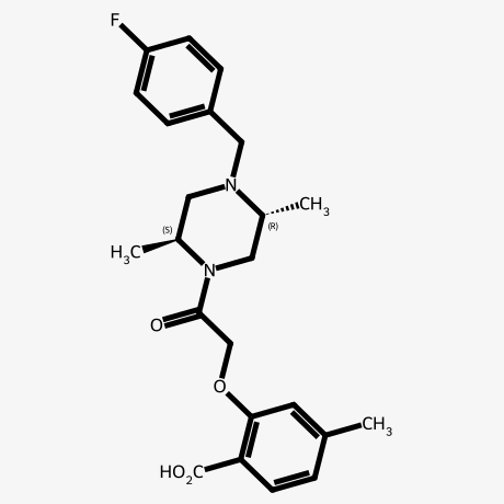 Cc1ccc(C(=O)O)c(OCC(=O)N2C[C@@H](C)N(Cc3ccc(F)cc3)C[C@@H]2C)c1